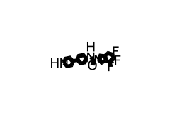 O=C(Nc1ccc(C2=CCNCC2)cc1)N1Cc2cc(F)c(F)c(F)c2C1